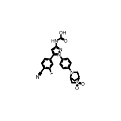 N#Cc1ccc(-c2cc(NC(=O)O)nn2-c2ccc(N3CC4CC3CS4(=O)=O)cc2)cc1F